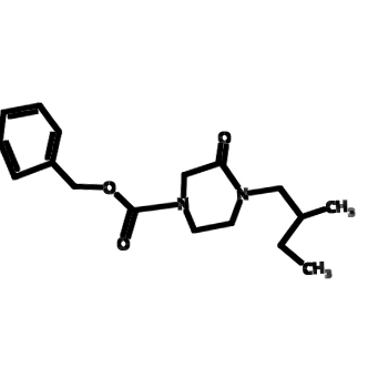 CCC(C)CN1CCN(C(=O)OCc2ccccc2)CC1=O